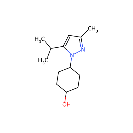 Cc1cc(C(C)C)n(C2CCC(O)CC2)n1